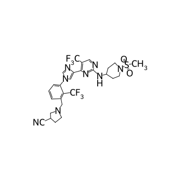 CS(=O)(=O)N1CCC(Nc2ncc(C(F)(F)F)c(-c3cn(-c4cccc(CN5CCC(C#N)C5)c4C(F)(F)F)cn3)n2)CC1